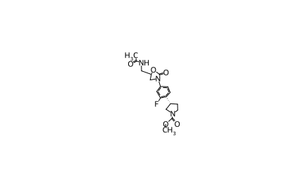 COC(=O)N1CC[C@@H](c2ccc(N3CC(CNC(C)=O)OC3=O)cc2F)C1